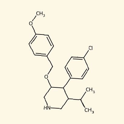 COc1ccc(COC2CNCC(C(C)C)C2c2ccc(Cl)cc2)cc1